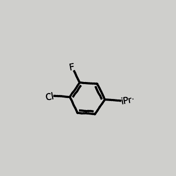 C[C](C)c1ccc(Cl)c(F)c1